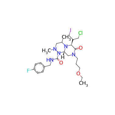 CCOCCCN1C[C@H]2N(C(C)CN(C)N2C(=O)NCc2ccc(F)cc2)[C@@H](C(CCl)CI)C1=O